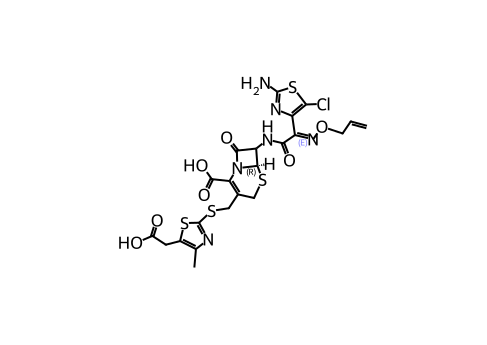 C=CCO/N=C(/C(=O)NC1C(=O)N2C(C(=O)O)=C(CSc3nc(C)c(CC(=O)O)s3)CS[C@H]12)c1nc(N)sc1Cl